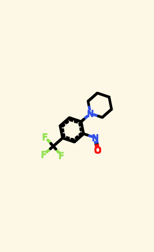 O=Nc1cc(C(F)(F)F)ccc1N1CCCCC1